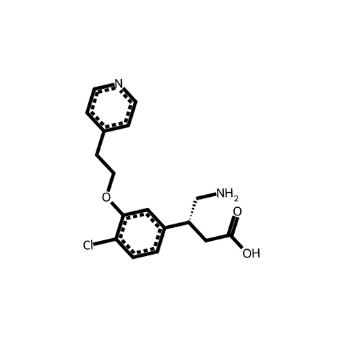 NC[C@H](CC(=O)O)c1ccc(Cl)c(OCCc2ccncc2)c1